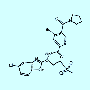 CS(=O)(=O)CC[C@H](NC(=O)c1ccc(C(=O)N2CCCC2)c(Br)c1)c1nc2cc(Cl)ccc2[nH]1